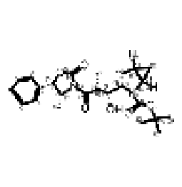 C[C@@H]1[C@H](c2ccccc2)OC(=O)N1C(=O)[C@H](C)[C@@H](O)[C@@H]1C[C@@H]2C[C@@H]2N1C(=O)OC(C)(C)C